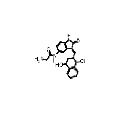 NCC(=O)Nc1ccc2c(c1)C(=CC1CC(O)c3ccccc3C1O)C(=O)N2